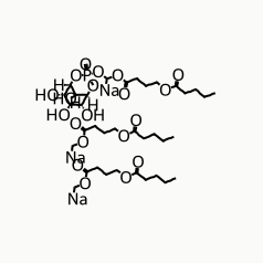 CCCCC(=O)OCCCC(=O)O[CH2][Na].CCCCC(=O)OCCCC(=O)O[CH2][Na].CCCCC(=O)OCCCC(=O)O[CH]([Na])OP1(=O)O[C@@H]2[C@@H](O)[C@@H](O1)[C@@H](O)[C@H](O)[C@H]2O